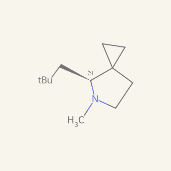 CN1CCC2(CC2)[C@@H]1CC(C)(C)C